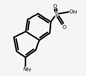 [NH]c1ccc2ccc(S(=O)(=O)O)cc2c1